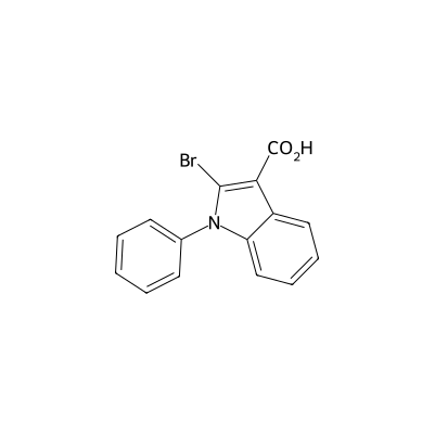 O=C(O)c1c(Br)n(-c2ccccc2)c2ccccc12